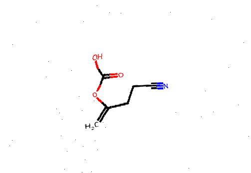 C=C(CCC#N)OC(=O)O